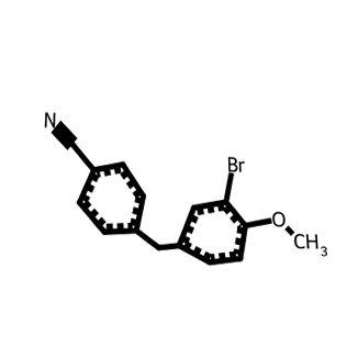 COc1ccc(Cc2ccc(C#N)cc2)cc1Br